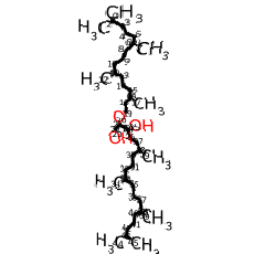 CC(C)CCC[C@@H](C)CCC[C@@H](C)CCC[C@@H](C)CCOC(CO)[C@H](O)CC[C@H](C)CCC[C@H](C)CCC[C@H](C)CCCC(C)C